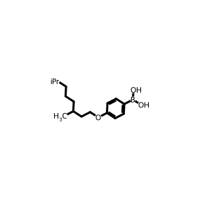 CC(C)CCCC(C)CCOc1ccc(B(O)O)cc1